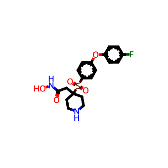 O=C(CC1(S(=O)(=O)c2ccc(Oc3ccc(F)cc3)cc2)CCNCC1)NO